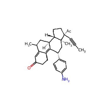 CC#C[C@]1(C(C)=O)CC[C@H]2[C@@H]3CC(C)C4=CC(=O)CCC4=C3[C@@H](c3ccc(N)cc3)C[C@@]21C